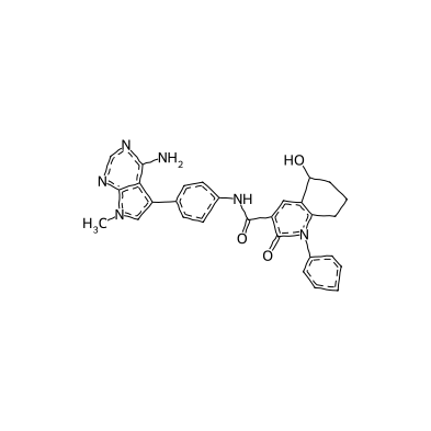 Cn1cc(-c2ccc(NC(=O)c3cc4c(n(-c5ccccc5)c3=O)CCCC4O)cc2)c2c(N)ncnc21